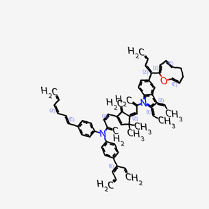 C=C/C=C\C=C\c1ccc(N(C(=C)/C=C\C2=CC(C)(C)/C(=C/C(=C)n3c(=C/C)/c(=C\C)c4cc(C(=C/C=C)/C5=C/C=C/CC/C=C/O5)ccc43)C2=C)c2ccc(/C(C=C)=C/C=C)cc2)cc1